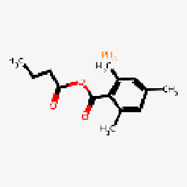 CCCC(=O)OC(=O)c1c(C)cc(C)cc1C.P